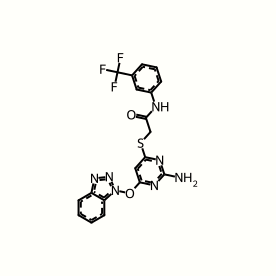 Nc1nc(On2nnc3ccccc32)cc(SCC(=O)Nc2cccc(C(F)(F)F)c2)n1